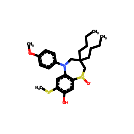 CCCCC1(CCCC)CN(c2ccc(OC)cc2)c2cc(SC)c(O)cc2[S+]([O-])C1